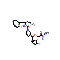 CNCC(CC1CCCCC1)NC(=O)N1CCCC(C(OCC(=O)NC(C)C)c2cccc(F)c2F)C1